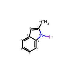 Cc1cc2ccccc2n1I